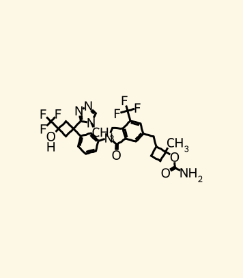 Cn1cnnc1C1(c2cccc(N3Cc4c(cc(CC5CCC5(C)OC(N)=O)cc4C(F)(F)F)C3=O)c2)CC(O)(C(F)(F)F)C1